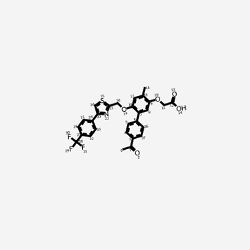 CC(=O)c1ccc(-c2cc(OCC(=O)O)c(C)cc2OCc2nc(-c3ccc(C(F)(F)F)cc3)cs2)cc1